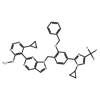 COc1ncnc(C2CC2)c1-c1ncc2cnn(Cc3ccc(-c4nc(C(F)(F)F)cn4C4CC4)cc3OCc3ccccc3)c2n1